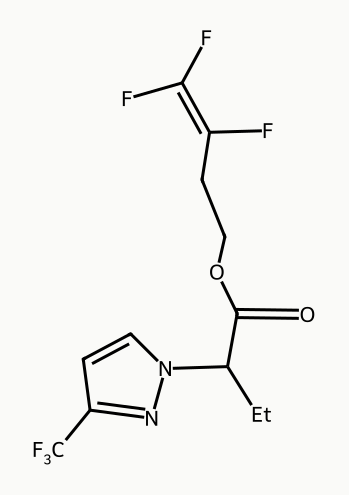 CCC(C(=O)OCCC(F)=C(F)F)n1ccc(C(F)(F)F)n1